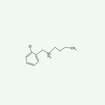 CCC[CH2][SnH2][CH2]c1ccccc1Cl